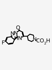 O=C(O)N1CCC(c2cc(=O)n3nc4cc(F)ccc4c3[nH]2)CC1